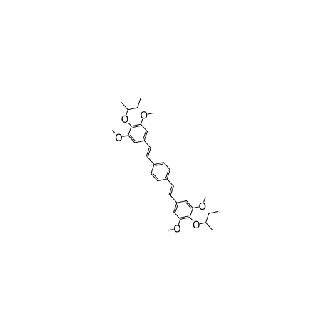 CCC(C)Oc1c(OC)cc(/C=C/c2ccc(/C=C/c3cc(OC)c(OC(C)CC)c(OC)c3)cc2)cc1OC